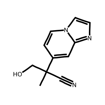 CC(C#N)(CO)c1ccn2ccnc2c1